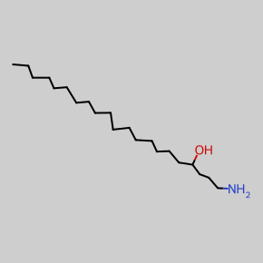 CCCCCCCCCCCCCCCCCC(O)CCCN